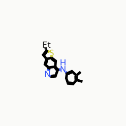 CCc1cc2cc3nccc(NC4=CC(C)=C(C)C=CC4)c3cc2s1